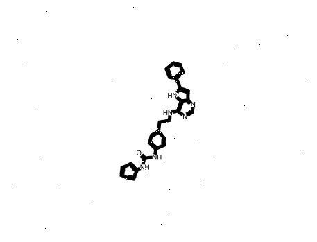 O=C(Nc1ccccc1)Nc1ccc(CCNc2ncnc3cc(-c4ccccc4)[nH]c23)cc1